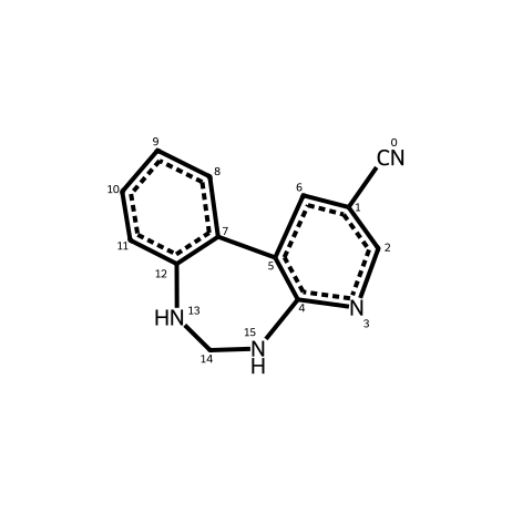 N#Cc1cnc2c(c1)-c1ccccc1NCN2